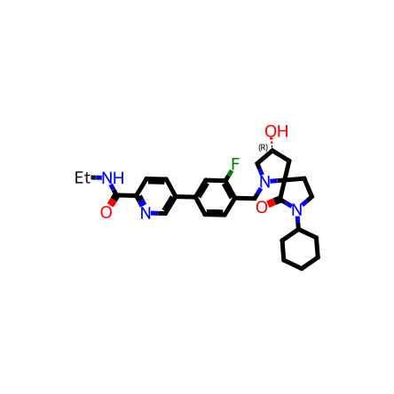 CCNC(=O)c1ccc(-c2ccc(CN3C[C@H](O)CC34CCN(C3CCCCC3)C4=O)c(F)c2)cn1